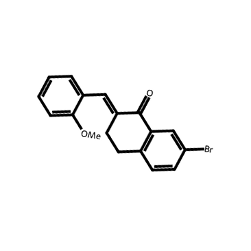 COc1ccccc1/C=C1\CCc2ccc(Br)cc2C1=O